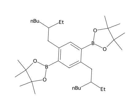 CCCCC(CC)Cc1cc(B2OC(C)(C)C(C)(C)O2)c(CC(CC)CCCC)cc1B1OC(C)(C)C(C)(C)O1